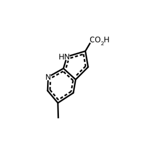 Cc1cnc2[nH]c(C(=O)O)cc2c1